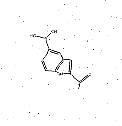 CC(=O)c1cc2cc(B(O)O)ccc2[nH]1